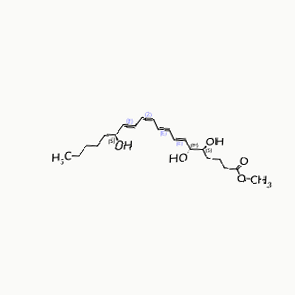 CCCCC[C@H](O)/C=C/C=C\C=C\C=C\[C@@H](O)[C@@H](O)CCCC(=O)OC